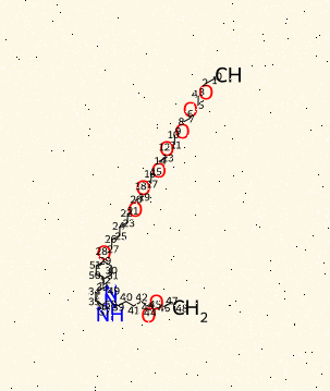 C#CCOCCOCCOCCOCCOCCOCCOCCCCCCOc1ccc(-c2ccc(=N)n(CCCCC(=O)OCC=C)n2)cc1